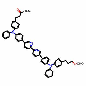 COC(=O)CCc1ccc(N(c2ccccc2)c2ccc(-c3ccc(-c4ccc(-c5ccc(N(c6ccccc6)c6ccc(CCCOC=O)cc6)cc5)cn4)nc3)cc2)cc1